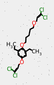 CCc1cc(OCC=C(Cl)Cl)cc(CC)c1OCCCCCOCC=C(Cl)Cl